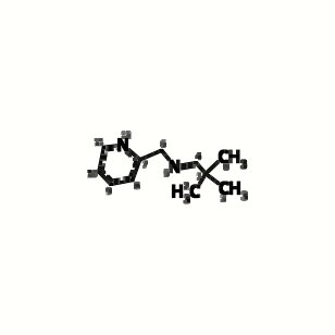 CC(C)(C)C=NCc1ccccn1